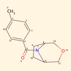 Cc1ccc(C(=O)N2C3CCC2COC3)cc1